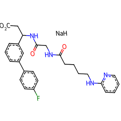 O=C(O)CC(NC(=O)CNC(=O)CCCCNc1ccccn1)c1cccc(-c2ccc(F)cc2)c1.[NaH]